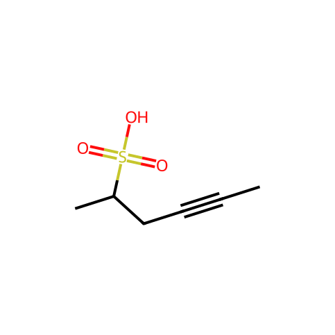 CC#CCC(C)S(=O)(=O)O